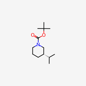 CC(C)[C@@H]1CCCN(C(=O)OC(C)(C)C)C1